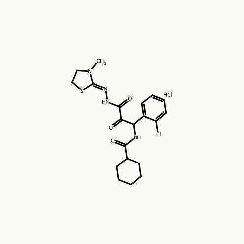 CN1CCS/C1=N\NC(=O)C(=O)C(NC(=O)C1CCCCC1)c1ccccc1Cl.Cl